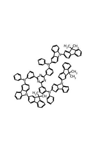 CC1(C)c2ccccc2-c2ccc(-n3c4ccccc4c4cc(N(c5ccccc5)c5cccc(-c6nc(-c7cccc(N(c8ccccc8)c8ccc9c(c8)c8ccccc8n9-c8ccc9c(c8)C(C)(C)c8ccccc8-9)c7)nc(-c7cccc(N(c8ccccc8)c8ccc9c(c8)c8ccccc8n9-c8ccc9c(c8)C(C)(C)c8ccccc8-9)c7)n6)c5)ccc43)cc21